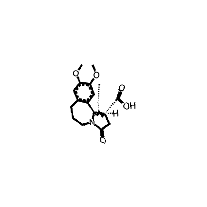 COc1cc2c(cc1OC)[C@@]13C[C@H](C)[C@@H](C(=O)O)[C@@H]1CC(=O)N3CCC2